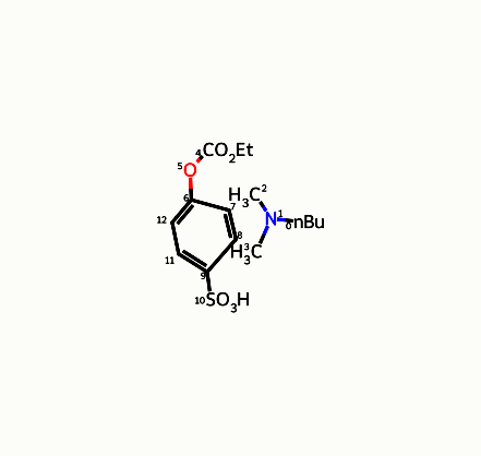 CCCCN(C)C.CCOC(=O)Oc1ccc(S(=O)(=O)O)cc1